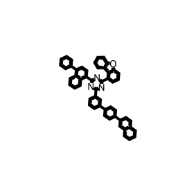 c1ccc(-c2ccc(-c3nc(-c4cccc(-c5ccc(-c6ccc7ccccc7c6)cc5)c4)nc(-c4cccc5oc6ccccc6c45)n3)c3ccccc23)cc1